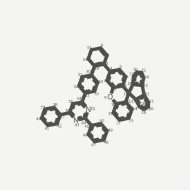 C1=CC(c2ccc3c(c2)Oc2ccccc2C32c3ccccc3-c3ccccc32)=C(c2ccc(-c3cc(-c4ccccc4)nc(-c4ccccc4)n3)cc2)CC1